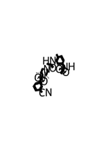 Cc1ccc(NS(C)(=O)=O)cc1NC(=O)CN1C[C@@H](C)N(S(=O)(=O)c2cccc(C#N)c2)[C@@H](C)C1